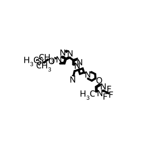 Cc1cc(OC2CCN(C3CC(CC#N)(n4cc(-c5ncnc6c5ccn6COCC[Si](C)(C)C)cn4)C3)CC2)nc(C(F)(F)F)n1